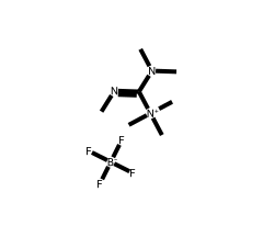 CN=C(N(C)C)[N+](C)(C)C.F[B-](F)(F)F